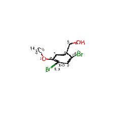 COc1cc(CO)c(Br)cc1Br